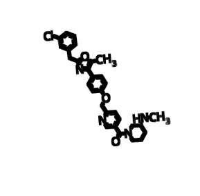 CN[C@@H]1CCCN(C(=O)c2ccc(COc3ccc(-c4nc(Cc5cccc(Cl)c5)oc4C)cc3)nc2)C1